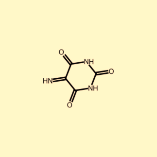 N=C1C(=O)NC(=O)NC1=O